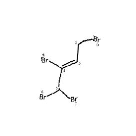 BrCC=C(Br)C(Br)Br